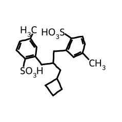 Cc1ccc(S(=O)(=O)O)c(CC(Cc2cc(C)ccc2S(=O)(=O)O)CC2CCC2)c1